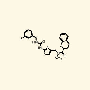 CN(Cc1csc(NC(=O)NCc2cccc(F)c2)n1)C(=O)C1CCc2ccccc2O1